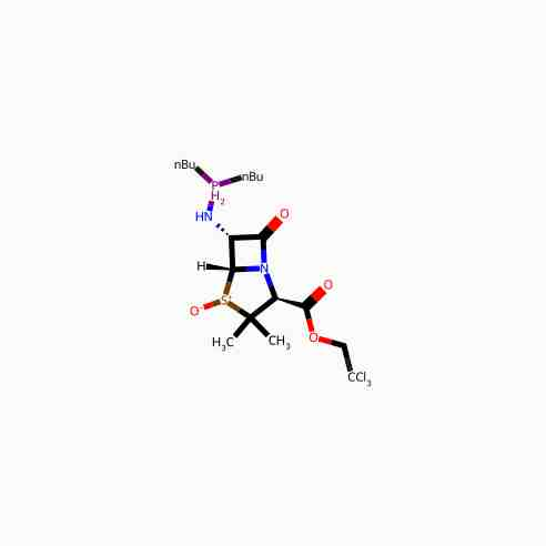 CCCC[PH2](CCCC)N[C@@H]1C(=O)N2[C@@H]1[S+]([O-])C(C)(C)[C@@H]2C(=O)OCC(Cl)(Cl)Cl